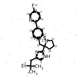 CCC(C)(C)Cc1c[nH]c(C2(Cc3ccc(-c4ccc(F)cn4)cc3)CCCN2C(=O)O)n1